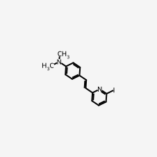 CN(C)c1ccc(C=Cc2cccc(I)n2)cc1